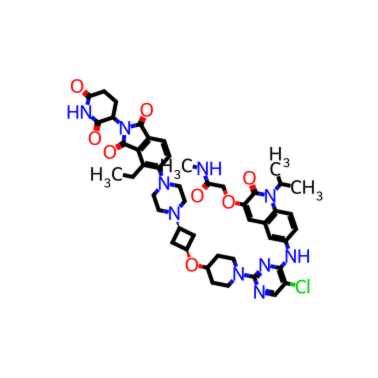 CCc1c(N2CCN([C@H]3C[C@H](OC4CCN(c5ncc(Cl)c(Nc6ccc7c(c6)cc(OCC(=O)NC)c(=O)n7C(C)C)n5)CC4)C3)CC2)ccc2c1C(=O)N(C1CCC(=O)NC1=O)C2=O